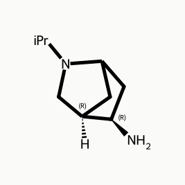 CC(C)N1C[C@H]2CC1C[C@H]2N